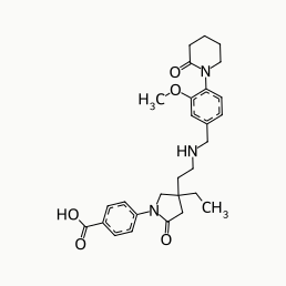 CCC1(CCNCc2ccc(N3CCCCC3=O)c(OC)c2)CC(=O)N(c2ccc(C(=O)O)cc2)C1